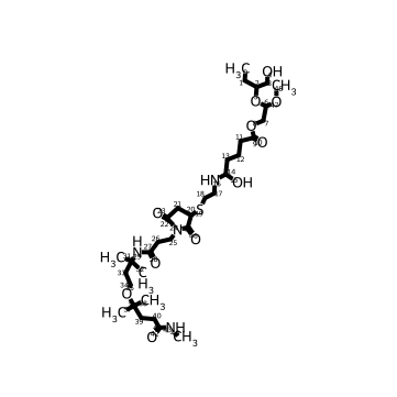 CCC(CO)OC(COC(=O)CCCC(O)NCCSC1CC(=O)N(CCC(=O)NC(C)(C)CCOC(C)(C)CCC(=O)NC)C1=O)OC